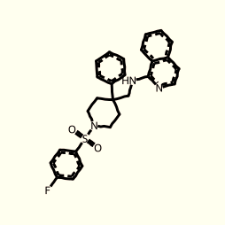 O=S(=O)(c1ccc(F)cc1)N1CCC(CNc2nccc3ccccc23)(c2ccccc2)CC1